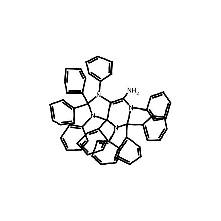 NC1=C2N(c3ccccc3)C(c3ccccc3)(c3ccccc3)N(c3ccccc3)C2(c2ccccc2)N(c2ccccc2)C(c2ccccc2)(c2ccccc2)N1c1ccccc1